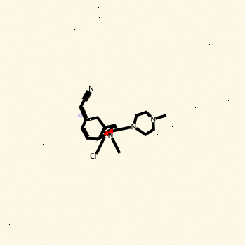 CN1CCN(C2=C3CN(C)CC34C/C(=C\C#N)C=CC4N(Cl)C=C2)CC1